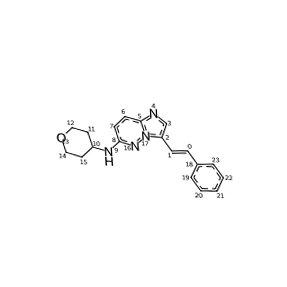 C(=Cc1cnc2ccc(NC3CCOCC3)nn12)c1ccccc1